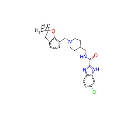 CC1(C)Cc2cccc(CN3CCC(CNC(=O)c4nc5ccc(Cl)cc5[nH]4)CC3)c2O1